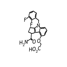 NC(=O)C1CCc2c1c1c(OCC(=O)O)cccc1n2Cc1cccc(F)c1F